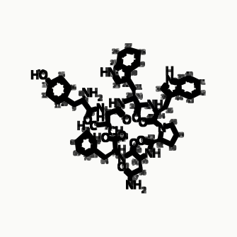 CC(C)[C@H](NC(=O)[C@@H](N)Cc1ccc(O)cc1)C(=O)N[C@@H](Cc1c[nH]c2ccccc12)C(=O)N[C@@H](Cc1c[nH]c2ccccc12)C(=O)N1CCC[C@H]1C(=O)N[C@@H](CC(N)=O)C(=O)N[C@@H](Cc1ccccc1)C(=O)O